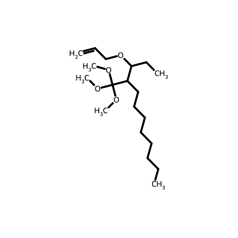 C=CCOC(CC)C(CCCCCCCC)C(OC)(OC)OC